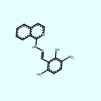 O=[N+]([O-])c1ccc(O)c(/C=N/Nc2nccc3ccccc23)c1O